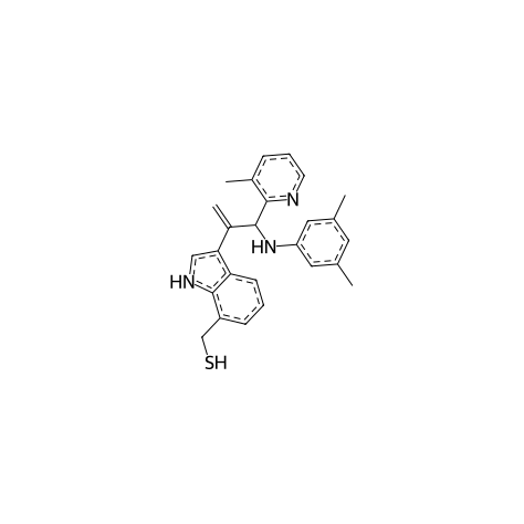 C=C(c1c[nH]c2c(CS)cccc12)C(Nc1cc(C)cc(C)c1)c1ncccc1C